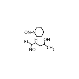 CCC(N=O)NCC(C)O.O=NN1CCCCC1